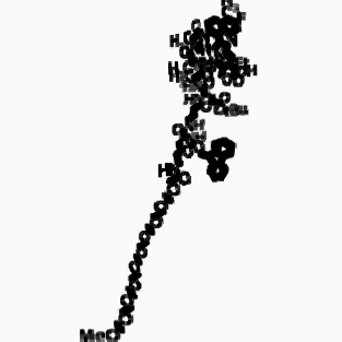 CC[C@@]1(O)C(=O)OCc2c1cc1n(c2=O)Cc2c-1nc1cc(F)c(C)c3c1c2[C@@H](NC(=O)[C@H](C)NC(=O)[C@H](C)NC(=O)[C@H](C)NC(=O)[C@H](CCC(=O)OC(C)(C)C)NC(=O)CCCNC(=O)[C@H](CCCCNC(=O)COCCOCCOCCOCCOCCOCCOCCOCCOCCOC)NC(=O)OCC1c2ccccc2-c2ccccc21)CC3